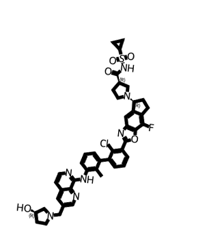 Cc1c(Nc2nccc3cc(CN4CC[C@@H](O)C4)cnc23)cccc1-c1cccc(-c2nc3cc4c(c(F)c3o2)CC[C@H]4N2CC[C@@H](C(=O)NS(=O)(=O)C3CC3)C2)c1Cl